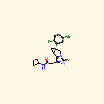 O=C(Cc1[nH]c(=S)n2c1C1C[C@]1(c1cc(Br)ccc1F)C2)NC1CCC1